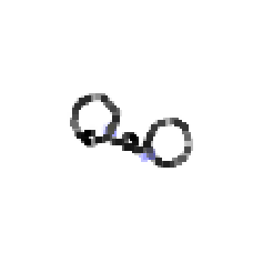 C1=C(/COC/C2=C/CCCCCCCCCC2)CCCCCCCCCC/1